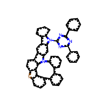 c1ccc(-c2nc(-c3ccccc3)nc(-n3c4ccccc4c4cc5c6ccc7sc8cccc9c%10ccccc%10c%10ccccc%10n(c5cc43)c6c7c89)n2)cc1